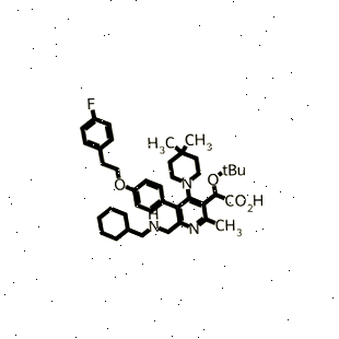 Cc1nc(CNCC2CCCCC2)c(-c2ccc(OCCc3ccc(F)cc3)cc2)c(N2CCC(C)(C)CC2)c1C(OC(C)(C)C)C(=O)O